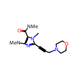 CNC(=O)c1c(NC)nc(C#CCN2CCOCC2)n1C